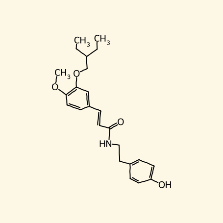 CCC(CC)COc1cc(C=CC(=O)NCCc2ccc(O)cc2)ccc1OC